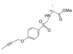 CC#CCOc1ccc(S(=O)(=O)CN[C@H](C)C(=O)OC)cc1